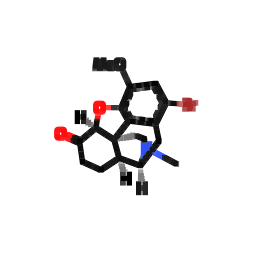 COc1cc(Br)c2c3c1O[C@@H]1C(=O)CC[C@@H]4[C@H](C2)N(C)CC[C@@]314